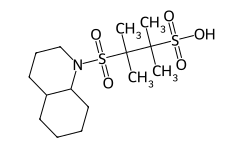 CC(C)(C(C)(C)S(=O)(=O)N1CCCC2CCCCC21)S(=O)(=O)O